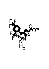 CCOC(=O)c1cc2c(-c3ccc(C(F)(F)F)cc3C(F)(F)F)nc(N)nc2s1